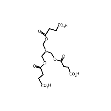 O=C(O)CCC(=O)OCN(COC(=O)CCC(=O)O)COC(=O)CCC(=O)O